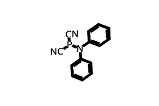 N#CP(C#N)N(c1ccccc1)c1ccccc1